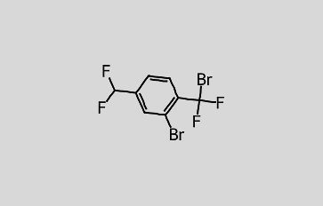 FC(F)c1ccc(C(F)(F)Br)c(Br)c1